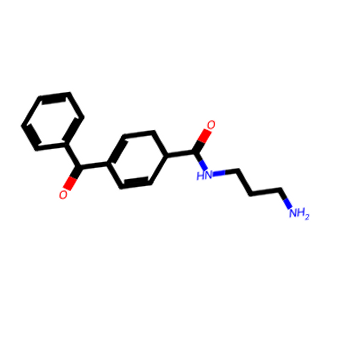 NCCCNC(=O)C1C=CC(C(=O)c2ccccc2)=CC1